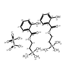 C[N+](C)(C)CCOC(=O)c1ccccc1O.C[N+](C)(C)CCOC(=O)c1ccccc1O.O=S([O-])S(=O)(=O)[O-]